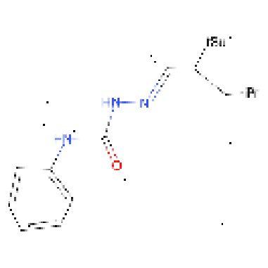 CC(C)CC(/C=N/NC(=O)Nc1ccccc1)C(C)(C)C